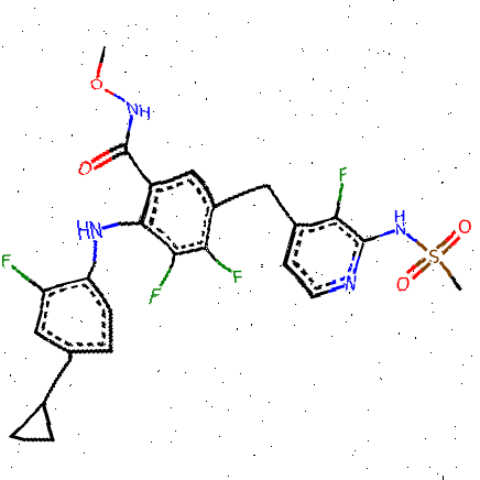 CONC(=O)c1cc(Cc2ccnc(NS(C)(=O)=O)c2F)c(F)c(F)c1Nc1ccc(C2CC2)cc1F